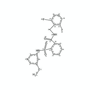 COc1cncc(NS(=O)(=O)c2ccccc2C(=O)NCc2c(F)cccc2F)c1